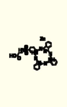 O=C(O)CCNS(=O)(=O)c1ccc2c3nc4nc(nc5[nH]c(nc6nc(nc([nH]3)c2c1)-c1ccccc1-6)c1ccccc51)-c1ccccc1-4.[Zn]